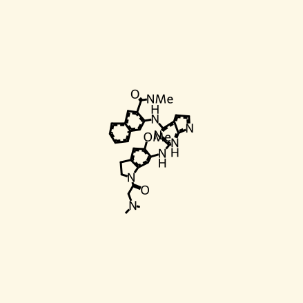 CNC(=O)c1cc2ccccc2cc1Nc1nc(Nc2cc3c(cc2OC)CCN3C(=O)CN(C)C)[nH]c2nccc1-2